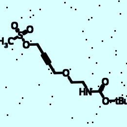 CC(C)(C)OC(=O)NCCOCC#CCOS(C)(=O)=O